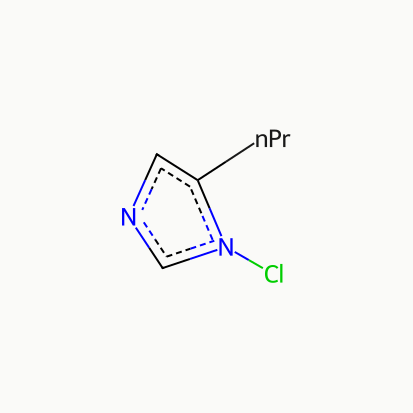 CCCc1cncn1Cl